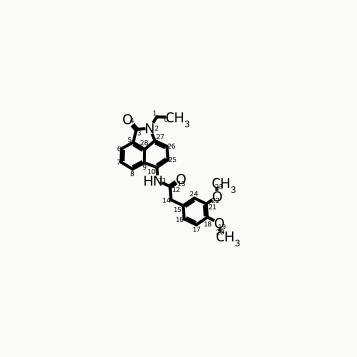 CCN1C(=O)c2cccc3c(NC(=O)Cc4ccc(OC)c(OC)c4)ccc1c23